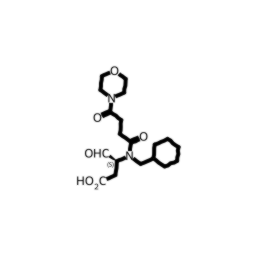 O=C[C@H](CC(=O)O)N(CC1CCCCC1)C(=O)CCC(=O)N1CCOCC1